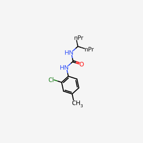 CCCC(CCC)NC(=O)Nc1ccc(C)cc1Cl